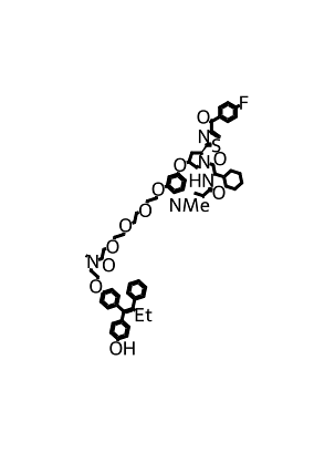 CC/C(=C(\c1ccc(O)cc1)c1ccc(OCCN(C)C(=O)COCCOCCOCCOc2cccc(OC3C[C@@H](c4nc(C(=O)c5ccc(F)cc5)cs4)N(C(=O)[C@@H](NC(=O)[C@H](C)NC)C4CCCCC4)C3)c2)cc1)c1ccccc1